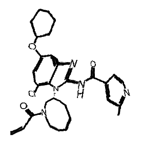 C=CC(=O)N1CCCC[C@@H](n2c(NC(=O)c3ccnc(C)c3)nc3cc(OC4CCCCC4)cc(Cl)c32)C1